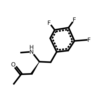 CN[C@H](CC(C)=O)Cc1cc(F)c(F)c(F)c1